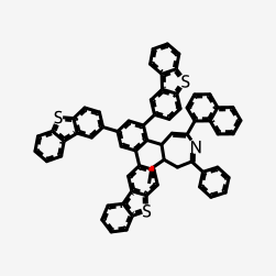 CCC1CC(c2ccccc2)=NC(c2cccc3ccccc23)=CC1c1c(-c2ccc3sc4ccccc4c3c2)cc(-c2ccc3sc4ccccc4c3c2)cc1-c1ccc2sc3ccccc3c2c1